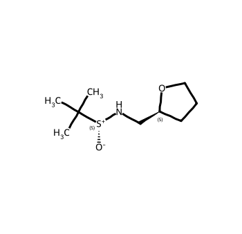 CC(C)(C)[S@@+]([O-])NC[C@@H]1CCCO1